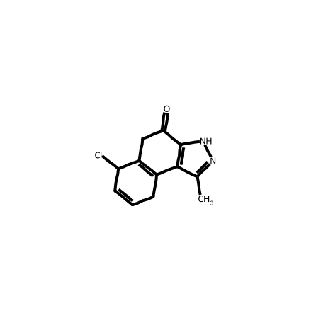 Cc1n[nH]c2c1C1=C(CC2=O)C(Cl)C=CC1